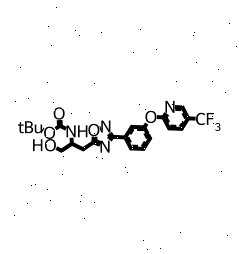 CC(C)(C)OC(=O)NC(CO)Cc1nc(-c2cccc(Oc3ccc(C(F)(F)F)cn3)c2)no1